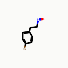 O=NCCc1ccc(Br)cc1